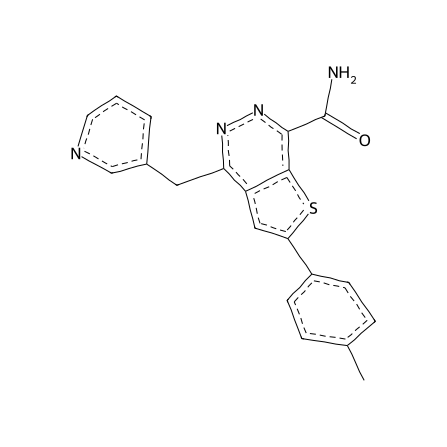 Cc1ccc(-c2cc3c(Cc4cccnc4)nnc(C(N)=O)c3s2)cc1